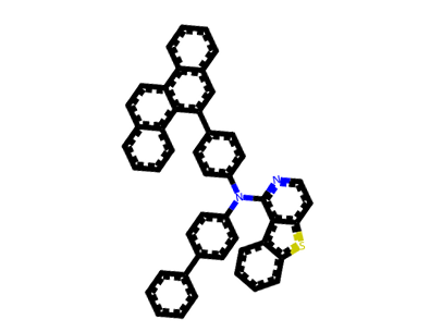 c1ccc(-c2ccc(N(c3ccc(-c4cc5ccccc5c5ccc6ccccc6c45)cc3)c3nccc4sc5ccccc5c34)cc2)cc1